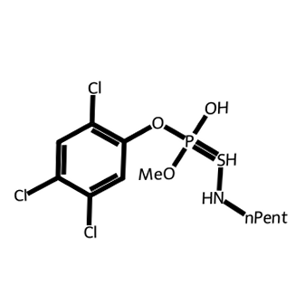 CCCCCN[SH]=P(O)(OC)Oc1cc(Cl)c(Cl)cc1Cl